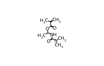 C=C(C)C(=O)OC(C)NC(=O)N(C)C